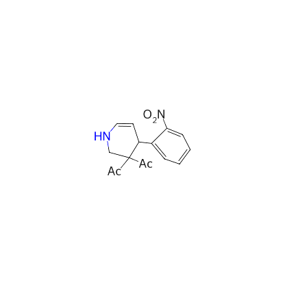 CC(=O)C1(C(C)=O)CNC=CC1c1ccccc1[N+](=O)[O-]